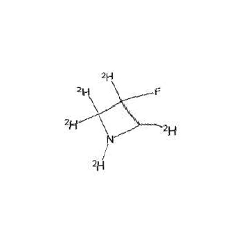 [2H]C1N([2H])C([2H])([2H])C1([2H])F